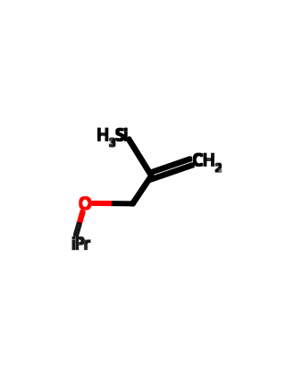 C=C([SiH3])COC(C)C